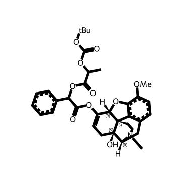 COc1ccc2c3c1O[C@H]1C(OC(=O)C(OC(=O)C(C)OC(=O)OC(C)(C)C)c4ccccc4)=CC[C@@]4(O)[C@@H](C2)N(C)CC[C@]314